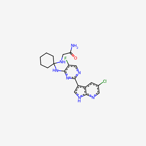 NC(=O)CNC1(Nc2nc(-c3c[nH]c4ncc(Cl)cc34)ncc2F)CCCCC1